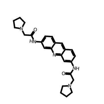 O=C(CN1CCCC1)Nc1ccc2cc3ccc(NC(=O)CN4CCCC4)cc3nc2c1